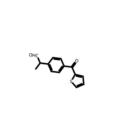 CC(C=O)c1ccc(C(=O)c2cccs2)cc1